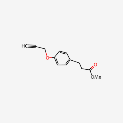 C#CCOc1ccc(CCC(=O)OC)cc1